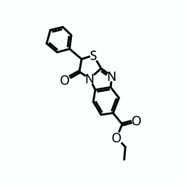 CCOC(=O)c1ccc2c(c1)nc1n2C(=O)C(c2ccccc2)S1